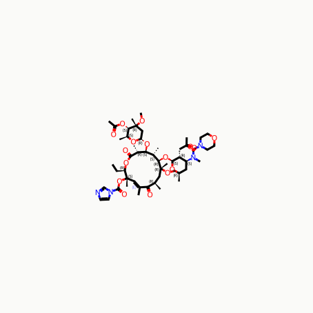 CC[C@H]1OC(=O)[C@H](C)[C@@H](O[C@H]2C[C@@](C)(OC)[C@@H](OC(C)=O)[C@H](C)O2)[C@H](C)[C@@H](O[C@@H]2O[C@H](C)C[C@H](N(C)C(=O)N3CCOCC3)[C@H]2CC(C)=O)[C@](C)(OC)C[C@@H](C)C(=O)/C(C)=C/[C@]1(C)OC(=O)n1ccnc1